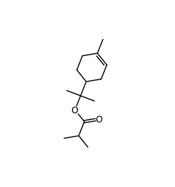 CC1=CCC(C(C)(C)OC(=O)C(C)C)CC1